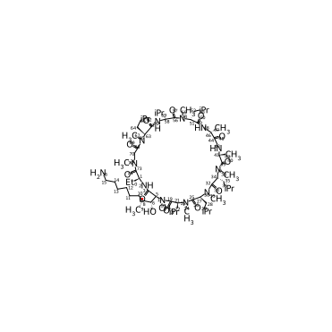 CC[C@@H]1NC(=O)C([C@H](O)[C@H](C)CCCCCCN)N(C)C(=O)[C@H](C(C)C)N(C)C(=O)[C@H](CC(C)C)N(C)C(=O)[C@@H](CC(C)C)N(C)C(=O)[C@H](C)NC(=O)[C@@H](C)NC(=O)[C@@H](CC(C)C)N(C)C(=O)[C@@H](C(C)C)NC(=O)[C@H](CC(C)C)N(C)C(=O)CN(C)C1=O